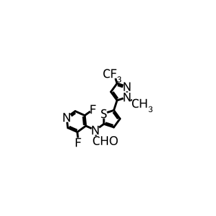 Cn1nc(C(F)(F)F)cc1-c1ccc(N(C=O)c2c(F)cncc2F)s1